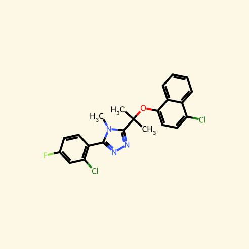 Cn1c(-c2ccc(F)cc2Cl)nnc1C(C)(C)Oc1ccc(Cl)c2ccccc12